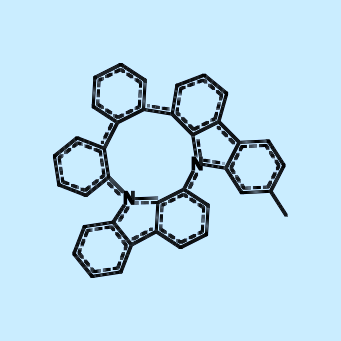 Cc1ccc2c3cccc4c5ccccc5c5ccccc5n5c6ccccc6c6cccc(c65)n(c2c1)c43